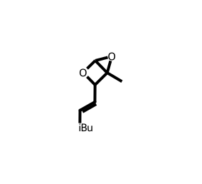 CCC(C)C=CC1OC2OC12C